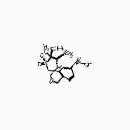 C=C1N[C@@]2(COCc3ccc([N+](=O)[O-])cc32)CS(=O)(=O)C1(C)C